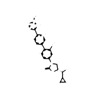 CCCn1nnc(-c2ccc(-c3ccc(N4C[C@@H](C(O)C5CC5)OC4=O)cc3F)cn2)n1